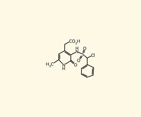 Cc1cc(CC(=O)O)c(NS(=O)(=O)C(Cl)c2ccccc2)c(=O)[nH]1